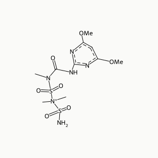 COc1cc(OC)nc(NC(=O)N(C)S(=O)(=O)[N+](C)(C)S(N)(=O)=O)n1